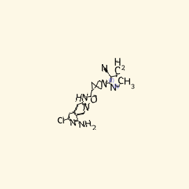 C=C/C(C#N)=C(\N=C/C)N1CC2(CC2C(=O)Nc2cc3cc(Cl)nc(N)c3cn2)C1